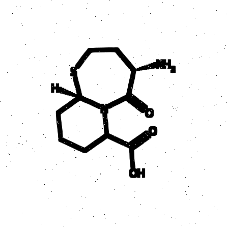 N[C@H]1CCS[C@@H]2CCCC(C(=O)O)N2C1=O